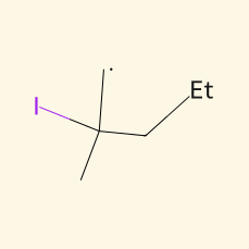 [CH2]C(C)(I)CCC